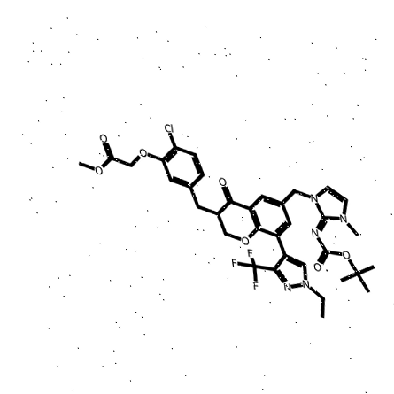 CCn1cc(-c2cc(Cn3ccn(C)c3=NC(=O)OC(C)(C)C)cc3c2OCC(Cc2ccc(Cl)c(OCC(=O)OC)c2)C3=O)c(C(F)(F)F)n1